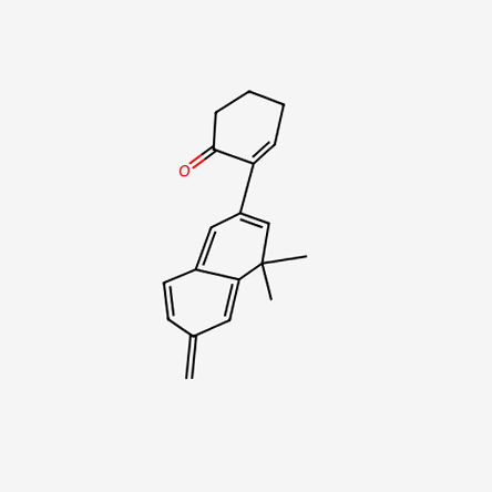 C=c1ccc2c(c1)C(C)(C)C=C(C1=CCCCC1=O)C=2